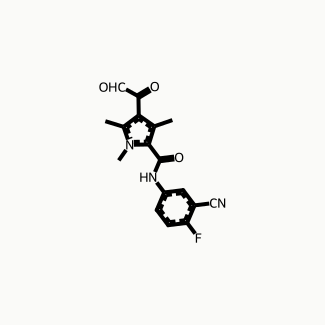 Cc1c(C(=O)C=O)c(C)n(C)c1C(=O)Nc1ccc(F)c(C#N)c1